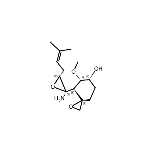 CO[C@@H]1[C@H](O)CC[C@]2(CO2)[C@H]1[C@@]1(N)O[C@@H]1CC=C(C)C